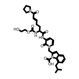 CC(C)Cc1cccc2cc(Cn3cccc(NC(=O)C(CCC=CC(=O)N4CCCC4)NC(=O)OCCO)c3=O)n(C(=O)O)c12